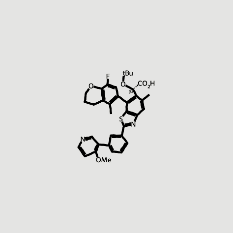 COc1ccncc1-c1cccc(-c2nc3cc(C)c([C@H](OC(C)(C)C)C(=O)O)c(-c4cc(F)c5c(c4C)CCCO5)c3s2)c1